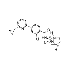 N#CN1[C@H]2CC[C@@H]1[C@H](NC(=O)c1ccc(-c3cccc(C4CC4)n3)cc1Cl)C2